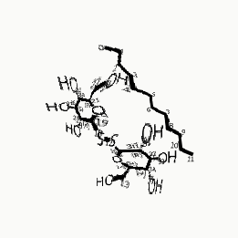 CCCCCCCCCCCC.OC[C@H]1OC(SSC2O[C@H](CO)[C@@H](O)[C@H](O)[C@H]2O)[C@H](O)[C@@H](O)[C@@H]1O